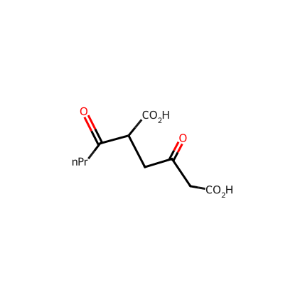 CCCC(=O)C(CC(=O)CC(=O)O)C(=O)O